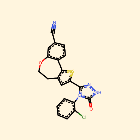 N#Cc1ccc2c(c1)OCCc1cc(-c3n[nH]c(=O)n3-c3ccccc3Cl)sc1-2